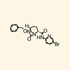 O=C(Nc1ccc(Br)cn1)[C@@H]1CC[C@@H]2CN1C(=O)N2OCc1ccccc1